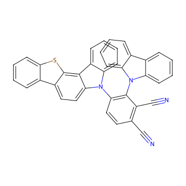 N#Cc1ccc(-n2c3ccccc3c3c4sc5ccccc5c4ccc32)c(-n2c3ccccc3c3ccccc32)c1C#N